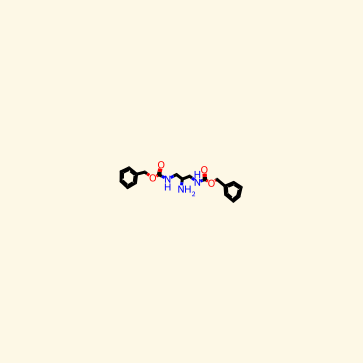 NC(CNC(=O)OCc1ccccc1)CNC(=O)OCc1ccccc1